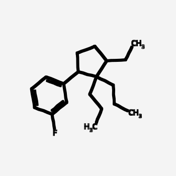 CCCC1(CCC)C(CC)CCC1c1cccc(F)c1